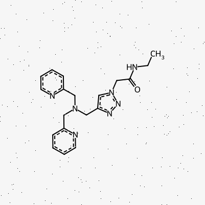 CCNC(=O)Cn1cc(CN(Cc2ccccn2)Cc2ccccn2)nn1